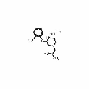 Cc1ccccc1OC1CN(CC(C)O)CCN1.Cl.Cl